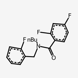 CCCCN(Cc1ccccc1F)C(=O)c1ccc(F)cc1F